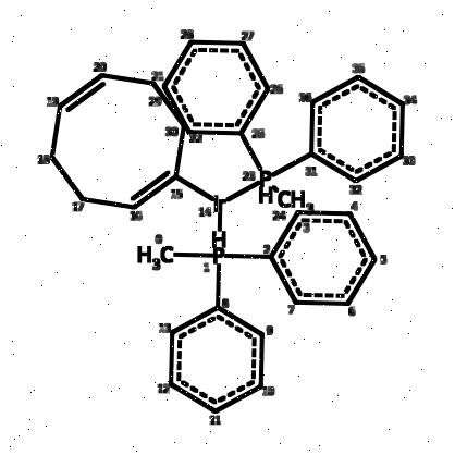 C[PH](c1ccccc1)(c1ccccc1)[Ir]([C]1=CCCC=CCC1)[PH](C)(c1ccccc1)c1ccccc1